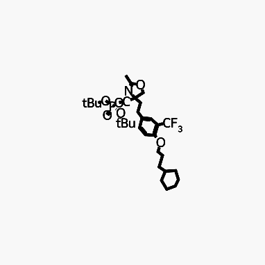 CC1=NC(CCc2ccc(OCCCC3CCCCC3)c(C(F)(F)F)c2)(COP(=O)(OC(C)(C)C)OC(C)(C)C)CO1